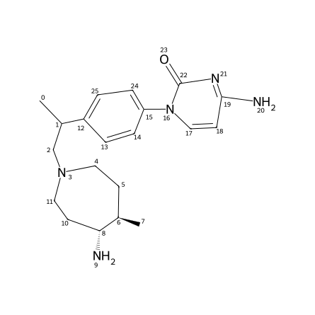 CC(CN1CC[C@@H](C)[C@H](N)CC1)c1ccc(-n2ccc(N)nc2=O)cc1